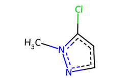 Cn1nccc1Cl